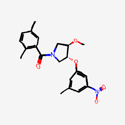 CO[C@@H]1CN(C(=O)c2cc(C)ccc2C)C[C@H]1Oc1cc(C)cc([N+](=O)[O-])c1